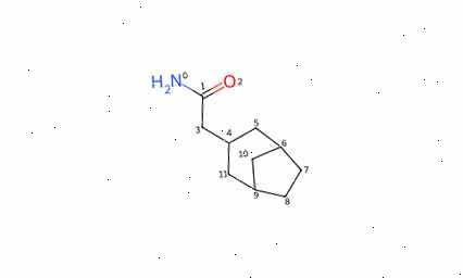 NC(=O)CC1CC2CCC(C2)C1